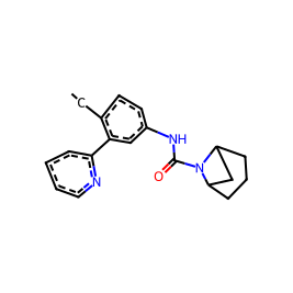 CCc1ccc(NC(=O)N2C3CCCC2C3)cc1-c1ccccn1